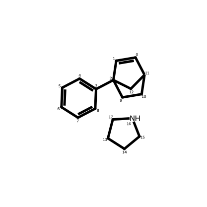 C1=CC2(c3ccccc3)CCC1C2.C1CCNC1